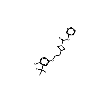 O=C(Nc1cccnc1)N1CC(CCOc2ccc(Cl)c(C(F)(F)F)c2)C1